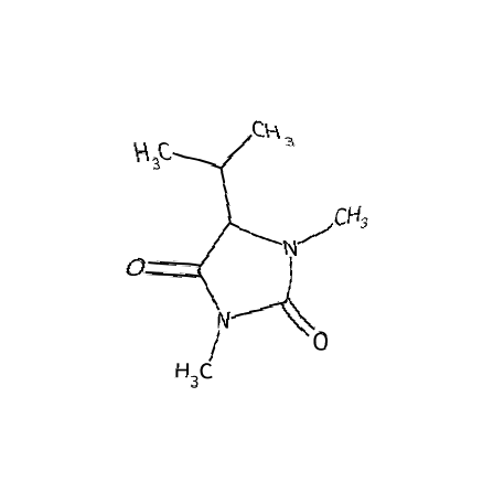 CC(C)C1C(=O)N(C)C(=O)N1C